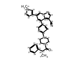 C[C@@H](C(=O)N1CCN(c2ccc(-c3cc(-c4cnn(C)c4)cn4ncc(C#N)c34)cn2)CC1)c1ccccc1